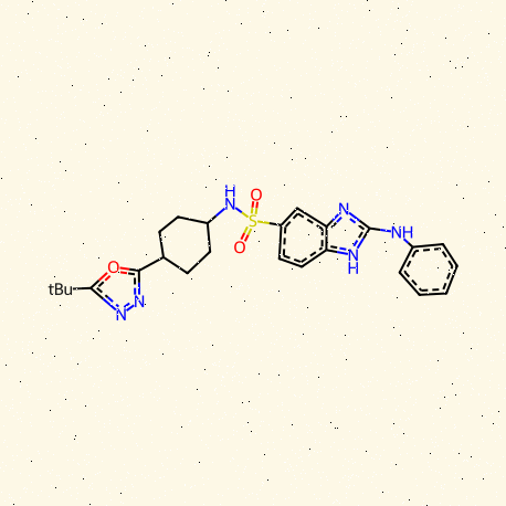 CC(C)(C)c1nnc(C2CCC(NS(=O)(=O)c3ccc4[nH]c(Nc5ccccc5)nc4c3)CC2)o1